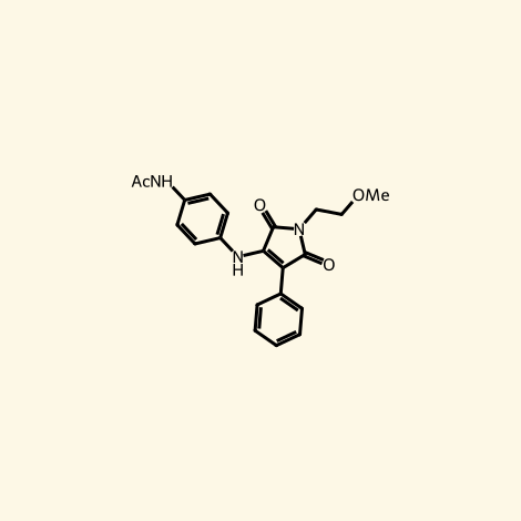 COCCN1C(=O)C(Nc2ccc(NC(C)=O)cc2)=C(c2ccccc2)C1=O